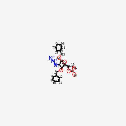 [N-]=[N+]=NC1C(OCc2ccccc2)[C@@H]([C@@H]2COC(=O)O2)O[C@@H]1OCc1ccccc1